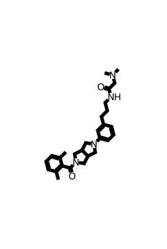 Cc1cccc(C)c1C(=O)N1CC2CN(c3cccc(CCCNC(=O)CN(C)C)c3)CC2C1